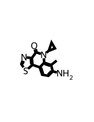 Cc1c(N)ccc2c3scnc3c(=O)n(C3CC3)c12